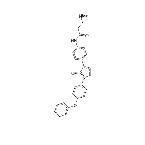 CNCCC(=O)Nc1ccc(-n2ccn(-c3ccc(Oc4ccccc4)cc3)c2=O)cc1